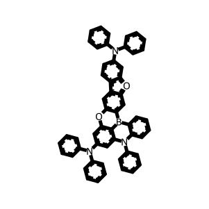 c1ccc(N(c2ccccc2)c2cc3c4c(c2)N(c2ccccc2)c2ccccc2B4c2cc4oc5cc(N(c6ccccc6)c6ccccc6)ccc5c4cc2O3)cc1